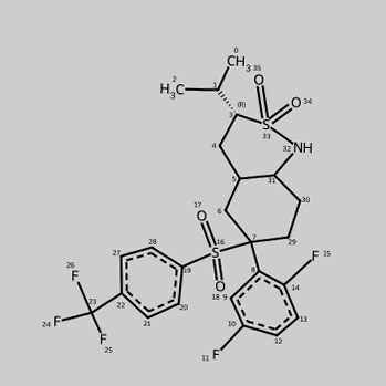 CC(C)[C@H]1CC2CC(c3cc(F)ccc3F)(S(=O)(=O)c3ccc(C(F)(F)F)cc3)CCC2NS1(=O)=O